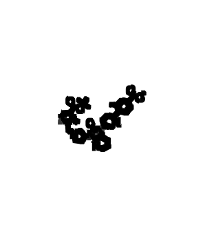 COC(=O)c1ccc(-c2ccc(-n3c(=O)n(C4CCN(Cc5ncc(C(=O)OC(C)(C)C)n5C)C4)c4ncccc43)cn2)c(C)c1